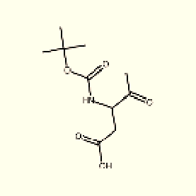 CC(=O)C(CC(=O)O)NC(=O)OC(C)(C)C